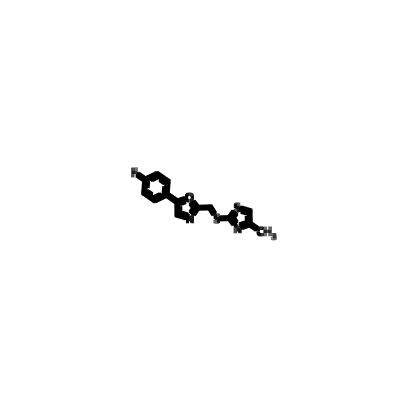 Cc1csc(SCc2ncc(-c3ccc(F)cc3)o2)n1